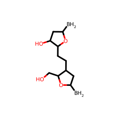 BC1CC(O)C(CCC2CC(B)OC2CO)O1